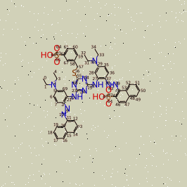 CCN(CC)c1ccc(/N=N/c2cccc3ccccc23)c(Nc2nc(Nc3cc(N(CC)CC)ccc3/N=N/c3c(S(=O)(=O)O)ccc4ccccc34)nc(SCc3cccc(S(=O)(=O)O)c3)n2)c1